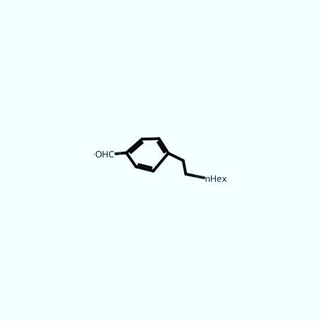 CCCCCCCCc1ccc([C]=O)cc1